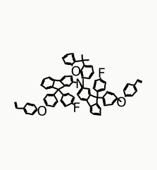 C=Cc1ccc(Oc2ccc(C3(c4ccc(F)cc4)c4ccccc4-c4ccc(N(c5ccc6c(c5)C(c5ccc(F)cc5)(c5ccc(Oc7ccc(C=C)cc7)cc5)c5ccccc5-6)c5cccc6c5Oc5ccccc5C6(C)C)cc43)cc2)cc1